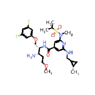 COCC[C@H](N)[C@H](COc1cc(F)cc(F)c1)NC(=O)c1cc(NCC2C[C@@H]2C)nc(N(C)S(=O)(=O)C(C)C)c1